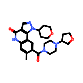 Cc1cc2[nH]c(=O)c3cnn(C4CCOCC4)c3c2cc1C(=O)N1CCN(C2CCOC2)CC1